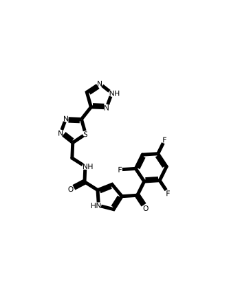 O=C(NCc1nnc(-c2cn[nH]n2)s1)c1cc(C(=O)c2c(F)cc(F)cc2F)c[nH]1